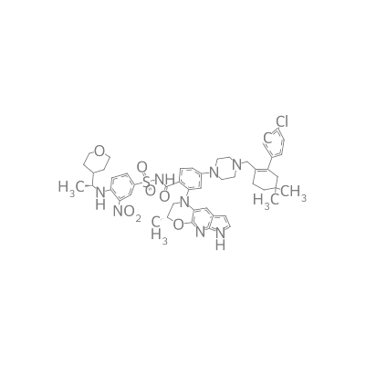 C[C@@H]1CN(c2cc(N3CCN(CC4=C(c5ccc(Cl)cc5)CC(C)(C)CC4)CC3)ccc2C(=O)NS(=O)(=O)c2ccc(N[C@@H](C)C3CCOCC3)c([N+](=O)[O-])c2)c2cc3cc[nH]c3nc2O1